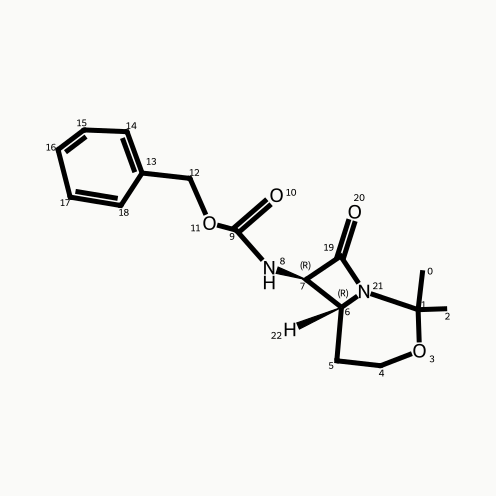 CC1(C)OCC[C@@H]2[C@@H](NC(=O)OCc3ccccc3)C(=O)N21